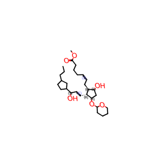 CCCC1CCC([C@H](O)/C=C/[C@@H]2[C@@H](C/C=C\CCCC(=O)OC)[C@@H](O)C[C@H]2OC2CCCCO2)C1